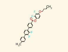 C=CCCOc1ccc(OC(=O)c2ccc(-c3ccc(-c4ccc(C)cc4)c(F)c3F)cc2)c(F)c1F